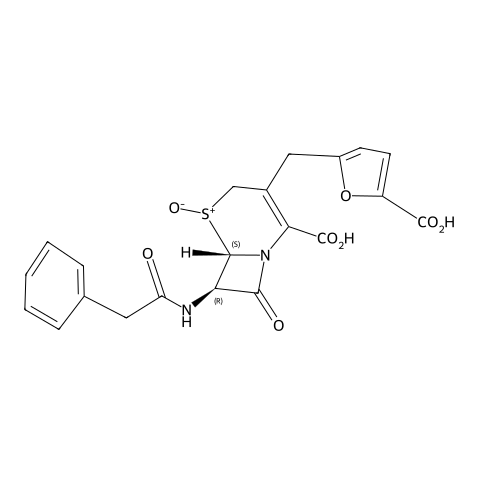 O=C(Cc1ccccc1)N[C@@H]1C(=O)N2C(C(=O)O)=C(Cc3ccc(C(=O)O)o3)C[S+]([O-])[C@@H]12